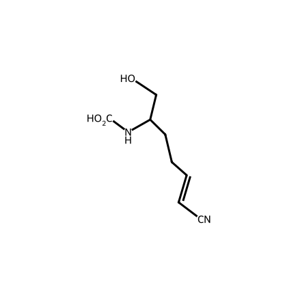 N#CC=CCCC(CO)NC(=O)O